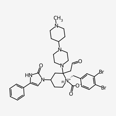 CN1CCC(N2CCN(C3(CC=O)CC(n4cc(-c5ccccc5)[nH]c4=O)CC[N@+]3(Cc3ccc(Br)c(Br)c3)C(=O)[O-])CC2)CC1